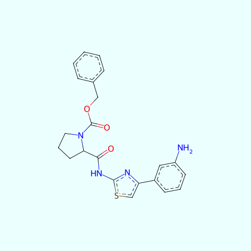 Nc1cccc(-c2csc(NC(=O)C3CCCN3C(=O)OCc3ccccc3)n2)c1